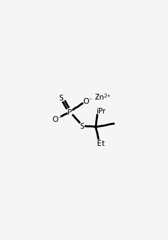 CCC(C)(SP([O-])([O-])=S)C(C)C.[Zn+2]